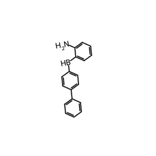 Nc1ccccc1Bc1ccc(-c2ccccc2)cc1